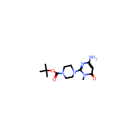 Cn1c(N2CCN(C(=O)OC(C)(C)C)CC2)nc(N)cc1=O